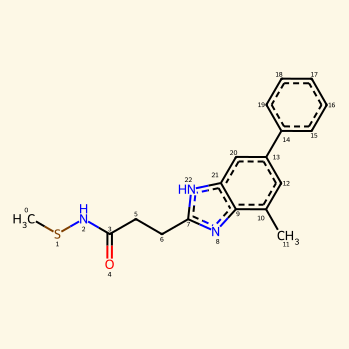 CSNC(=O)CCc1nc2c(C)cc(-c3ccccc3)cc2[nH]1